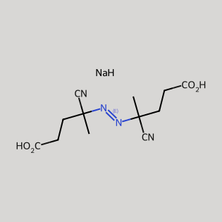 CC(C#N)(CCC(=O)O)/N=N/C(C)(C#N)CCC(=O)O.[NaH]